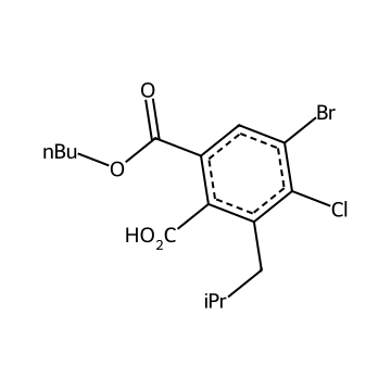 CCCCOC(=O)c1cc(Br)c(Cl)c(CC(C)C)c1C(=O)O